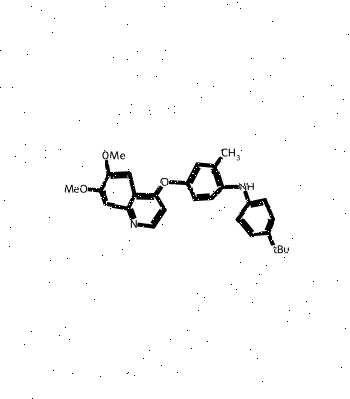 COc1cc2nccc(Oc3ccc(Nc4ccc(C(C)(C)C)cc4)c(C)c3)c2cc1OC